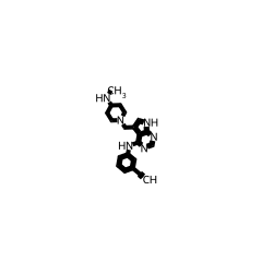 C#Cc1cccc(Nc2ncnc3[nH]cc(CN4CCC(NC)CC4)c23)c1